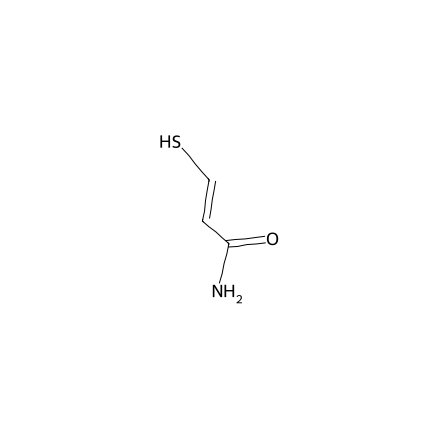 NC(=O)C=CS